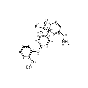 CCOc1ccccc1Oc1ccc([N+]2(S(=O)(=O)CC)C=C(CN)C=CC2)cc1